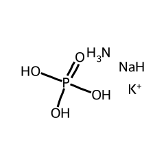 N.O=P(O)(O)O.[K+].[NaH]